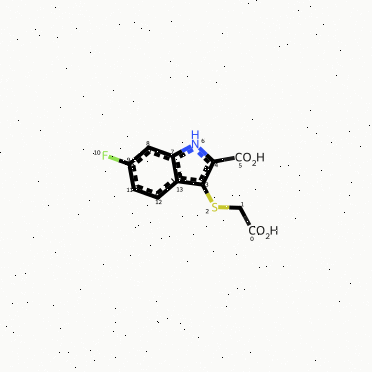 O=C(O)CSc1c(C(=O)O)[nH]c2cc(F)ccc12